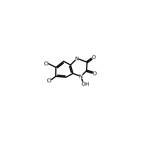 O=C1[N]c2cc(Cl)c(Cl)cc2N(O)C1=O